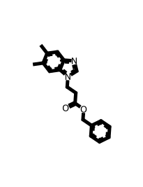 Cc1cc2ncn(CCC(=O)OCc3ccccc3)c2cc1C